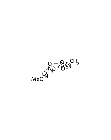 COc1ccc(Cn2ncc3cc(S(=O)(=O)c4cc(C)ns4)ccc3c2=O)cn1